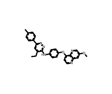 CCc1cc(-c2ccc(C)cc2)nnc1Nc1ccc(Oc2ccnc3cc(OC)cnc23)cc1